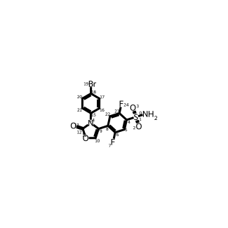 NS(=O)(=O)c1cc(F)c(-c2coc(=O)n2-c2ccc(Br)cc2)cc1F